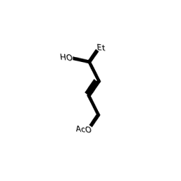 CCC(O)/C=C/COC(C)=O